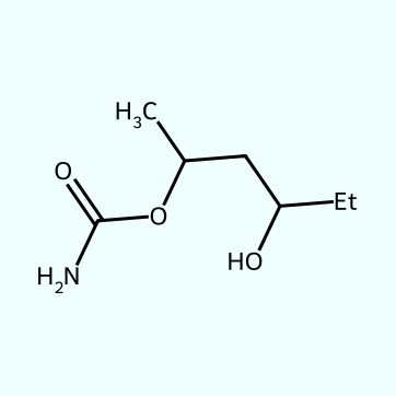 CCC(O)CC(C)OC(N)=O